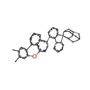 Cc1cc2c(cc1C)-c1cccc3c(-c4cccc5c4-c4ccccc4C54C5CC6CC(C5)CC4C6)ccc(c13)O2